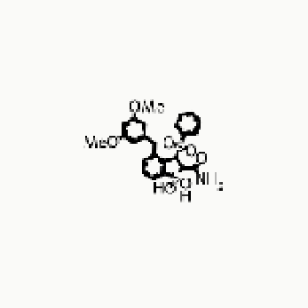 COc1cc(Cc2cccc3c2C(S(=O)(=O)c2ccccc2)C(C(N)=O)S3(O)O)cc(OC)c1